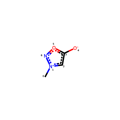 C[n+]1cc([O-])on1